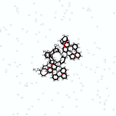 CC1C=C2C(C)C3=C1C(C)C=C(C3C)C1(C=CC=C1c1ccccc1)C1c3cc4c(cc3B3c5ccccc5N(c5c(-c6ccccc6)cccc5-c5ccccc5)c5cc(N6/C7=C/CCCC(C)C(C7)CC6C)cc1c53)B1c3ccccc3N(c3c(-c5ccccc5)cccc3-c3ccccc3)c3cc(N5C6CC7CC(C6)CC5C7)cc(c31)N24